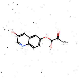 COC(=O)C(Br)Oc1ccc2ncc(Br)cc2c1